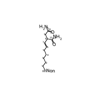 CCCCCCCCCCCCCCC=CC(CC(N)=O)C(N)=O